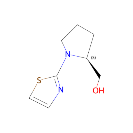 OC[C@@H]1CCCN1c1nccs1